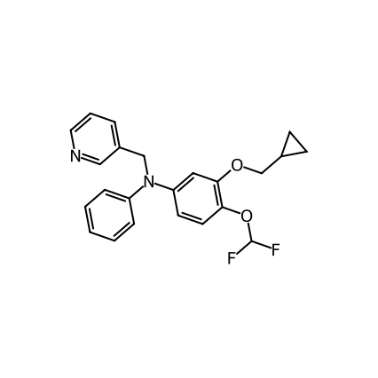 FC(F)Oc1ccc(N(Cc2cccnc2)c2ccccc2)cc1OCC1CC1